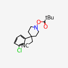 CC(C)(C)C(=O)ON1CCC(CC#N)(c2cccc(Cl)c2)CC1